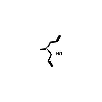 C=CC[Si](C)CC=C.Cl